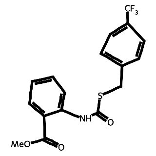 COC(=O)c1ccccc1NC(=O)SCc1ccc(C(F)(F)F)cc1